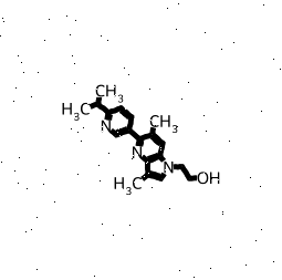 Cc1cc2c(nc1-c1ccc(C(C)C)nc1)c(C)cn2CCO